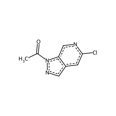 CC(=O)n1ncc2cc(Cl)ncc21